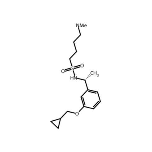 CNCCCCS(=O)(=O)N[C@H](C)c1cccc(OCC2CC2)c1